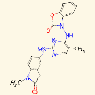 Cc1cnc(Nc2ccc3c(c2)CC(=O)N3C)nc1Nn1c(=O)oc2ccccc21